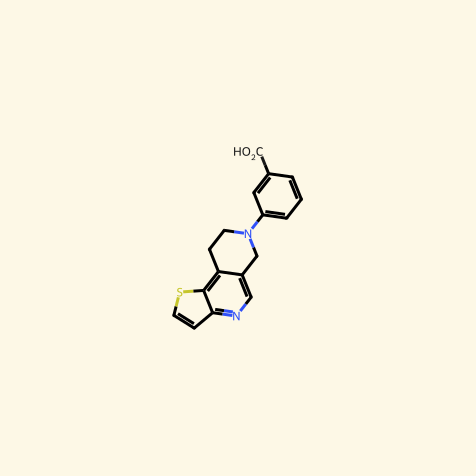 O=C(O)c1cccc(N2CCc3c(cnc4ccsc34)C2)c1